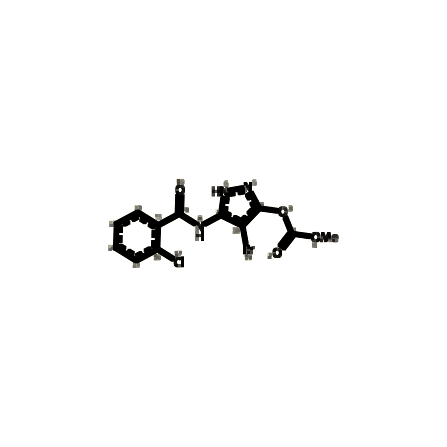 COC(=O)Oc1n[nH]c(NC(=O)c2ccccc2Cl)c1Br